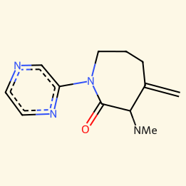 C=C1CCCN(c2cnccn2)C(=O)C1NC